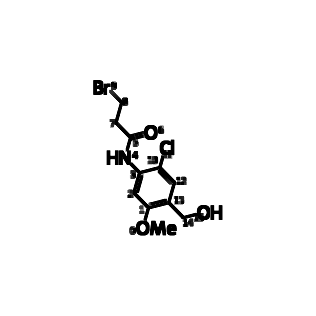 COc1cc(NC(=O)CCBr)c(Cl)cc1CO